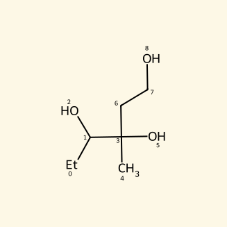 CCC(O)C(C)(O)CCO